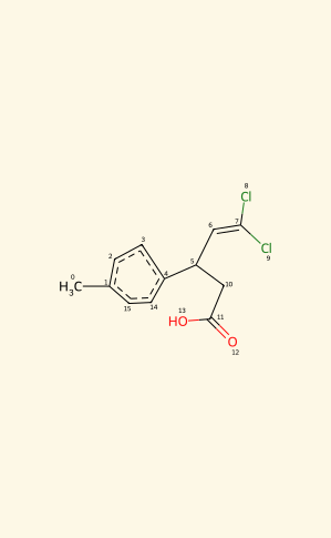 Cc1ccc(C(C=C(Cl)Cl)CC(=O)O)cc1